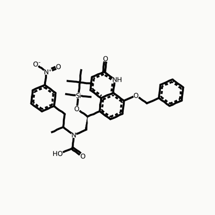 CC(Cc1cccc([N+](=O)[O-])c1)N(C[C@@H](O[Si](C)(C)C(C)(C)C)c1ccc(OCc2ccccc2)c2[nH]c(=O)ccc12)C(=O)O